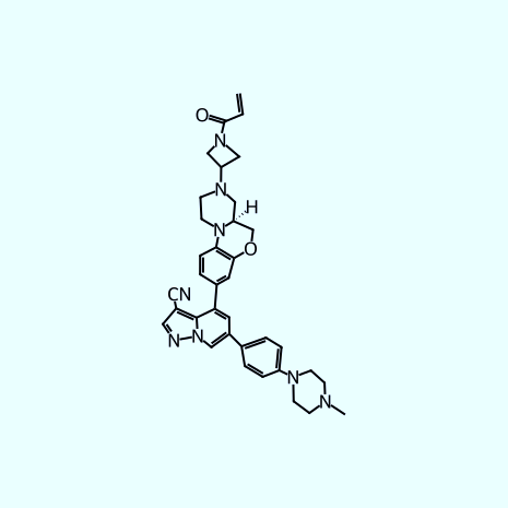 C=CC(=O)N1CC(N2CCN3c4ccc(-c5cc(-c6ccc(N7CCN(C)CC7)cc6)cn6ncc(C#N)c56)cc4OC[C@@H]3C2)C1